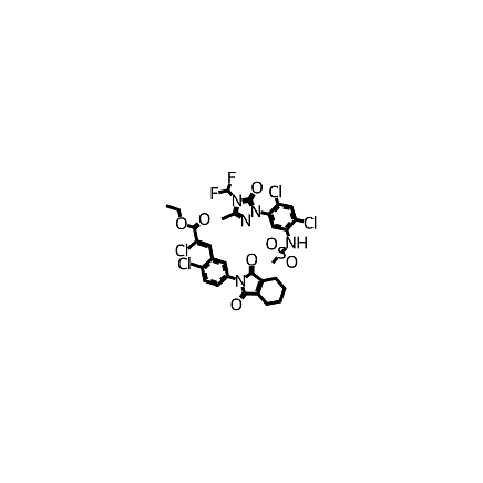 CCOC(=O)/C(Cl)=C/c1cc(N2C(=O)C3=C(CCCC3)C2=O)ccc1Cl.Cc1nn(-c2cc(NS(C)(=O)=O)c(Cl)cc2Cl)c(=O)n1C(F)F